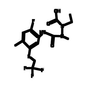 CCN(C(=O)O)N(C)C(=O)Nc1cc(SCC(F)(F)F)c(C)cc1F